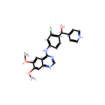 COc1cc2ncnc(Nc3ccc(C(O)c4ccncc4)c(Cl)c3)c2cc1OC